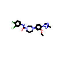 CCOc1cc(N2CCCN(C(=O)Nc3ccc(F)c(Cl)c3)CC2)ccc1-n1cnc(C)n1